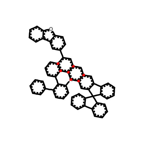 c1ccc(-c2ccccc2-c2c(-c3ccccc3)cccc2N(c2ccc(-c3ccc4oc5ccccc5c4c3)cc2)c2ccc3c(c2)C2(c4ccccc4-c4ccccc42)c2ccccc2-3)cc1